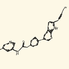 CC(C)C#Cc1cc2cc(-c3ccc(CC(=O)Nc4cncc(C(F)(F)F)c4)cc3)cnc2[nH]1